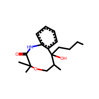 CCCCC1(O)c2ccccc2NC(=O)C(C)(C)OCC1C